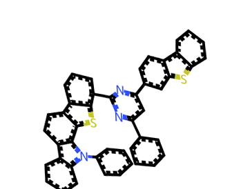 c1ccc(-c2cc(-c3ccc4c(c3)sc3ccccc34)nc(-c3cccc4c3sc3c4ccc4c5ccccc5n(-c5ccccc5)c43)n2)cc1